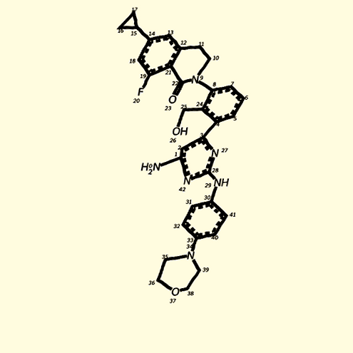 Nc1cc(-c2cccc(N3CCc4cc(C5CC5)cc(F)c4C3=O)c2CO)nc(Nc2ccc(N3CCOCC3)cc2)n1